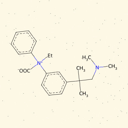 CC[N+](C(=O)[O-])(c1ccccc1)c1cccc(C(C)(C)CN(C)C)c1